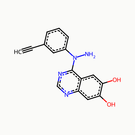 C#Cc1cccc(N(N)c2ncnc3cc(O)c(O)cc23)c1